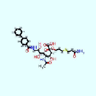 CC(=O)N[C@H]1[C@H]([C@H](O)C(O)CNC(=O)c2ccc(-c3ccccc3)cc2)O[C@@](OCCCSCCC(N)=O)(C(=O)O)C[C@@H]1O